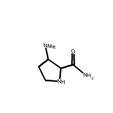 CNC1CCNC1C(N)=O